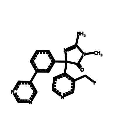 CN1C(=O)C(c2cccc(-c3cncnc3)c2)(c2ccncc2CF)N=C1N